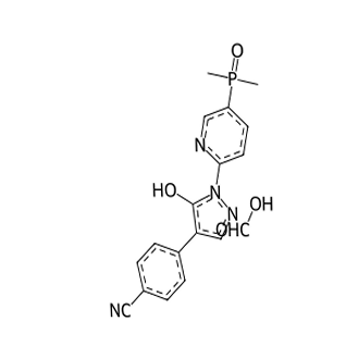 CP(C)(=O)c1ccc(-n2ncc(-c3ccc(C#N)cc3)c2O)nc1.O=CO